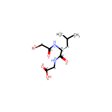 CC(C)C[C@@H](NC(=O)CBr)C(=O)NCC(=O)O